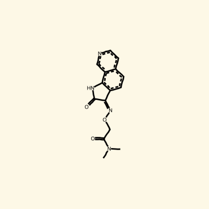 CN(C)C(=O)CON=C1C(=O)Nc2c1ccc1ccncc21